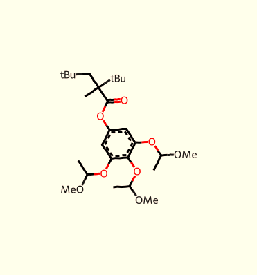 COC(C)Oc1cc(OC(=O)C(C)(CC(C)(C)C)C(C)(C)C)cc(OC(C)OC)c1OC(C)OC